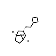 C1CC(CO[C@@H]2C[C@H]3CC[C@@H](C2)N3)C1